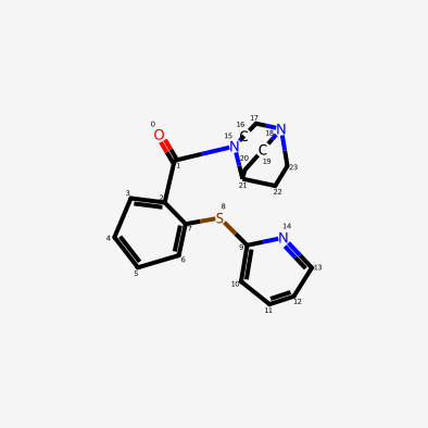 O=C(c1ccccc1Sc1ccccn1)N1CCN2CCC1CC2